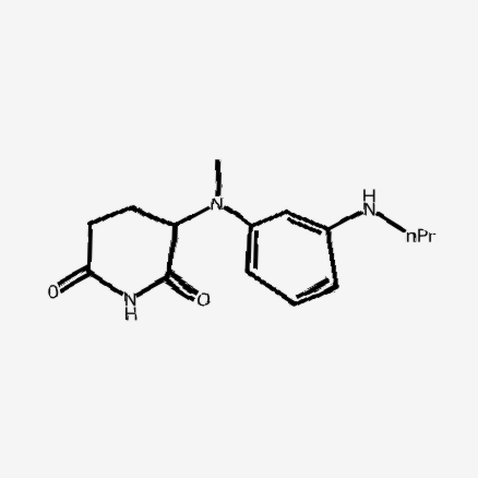 CCCNc1cccc(N(C)C2CCC(=O)NC2=O)c1